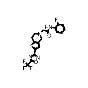 O=C(CN1CCc2sc(-c3noc(C(F)(F)F)n3)cc2C1)Nc1ccccc1F